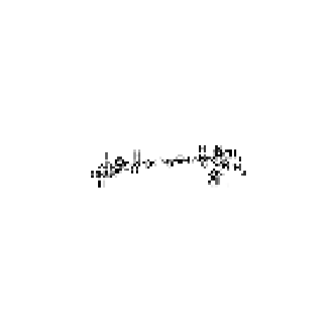 Cc1sc2c(c1C)C(c1ccc(Cl)cc1)=N[C@@H](CC(=O)NCCOCCOCCOCCOCCOCCNC(=O)COc1cccc(C(=O)NC3CCC(=O)NC3=O)c1C=O)c1nnc(C)n1-2